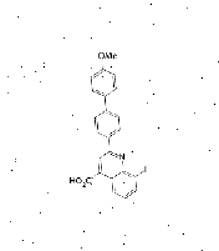 COc1ccc(-c2ccc(-c3cc(C(=O)O)c4cccc(F)c4n3)cc2)cc1